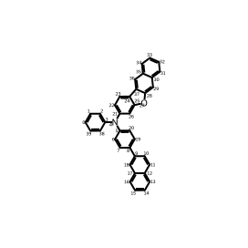 c1ccc(N(c2ccc(-c3ccc4ccccc4c3)cc2)c2ccc3c(c2)oc2cc4ccccc4cc23)cc1